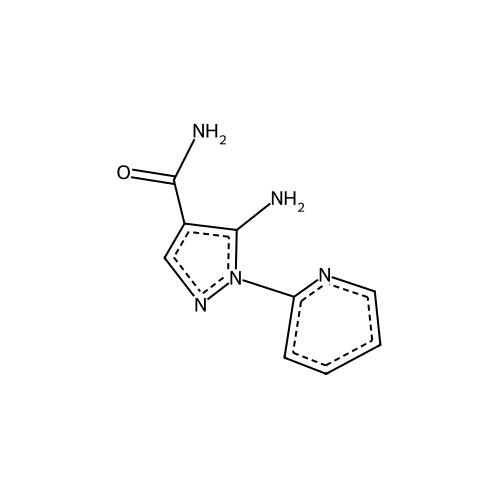 NC(=O)c1cnn(-c2ccccn2)c1N